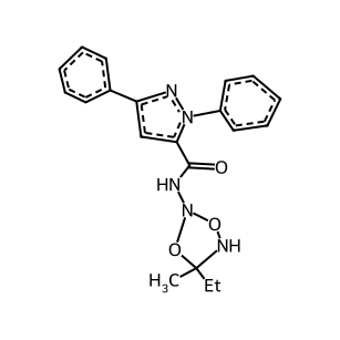 CCC1(C)NON(NC(=O)c2cc(-c3ccccc3)nn2-c2ccccc2)O1